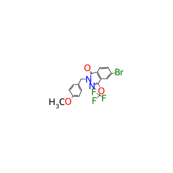 COc1ccc(Cn2nc(OC(F)(F)F)c3cc(Br)ccc3c2=O)cc1